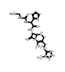 CSCNC(=O)NC(C(=O)N[C@H]1C(=O)N2C(C(=O)O)=C(CSc3nnnn3C)CSC12)c1cccs1